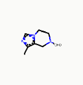 Cc1ncn2c1CN(C=O)CC2